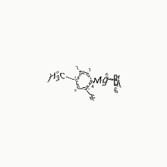 Cc1cc[c]([Mg][Br])c(F)c1